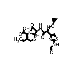 C=CC1=C(C(=O)O)N2C(=O)[C@@H](NC(=O)C(=NOC3CC3)c3csc(NC=O)n3)[C@@H]2SC1